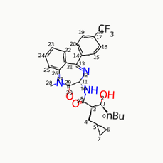 CCCC[C@H](O)[C@@H](CC1CC1)C(=O)N[C@H]1N=C(c2ccc(C(F)(F)F)cc2)c2ccccc2N(C)C1=O